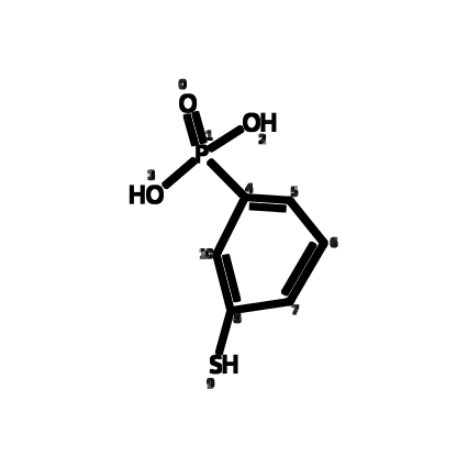 O=P(O)(O)c1cccc(S)c1